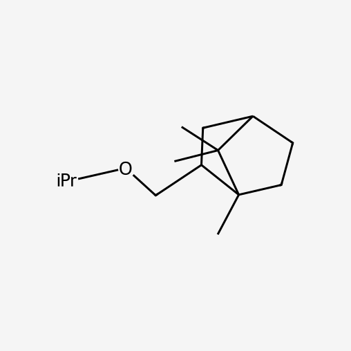 CC(C)OCC1CC2CCC1(C)C2(C)C